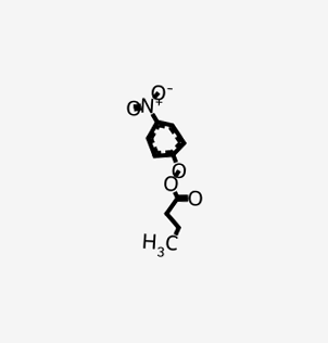 CCCC(=O)OOc1ccc([N+](=O)[O-])cc1